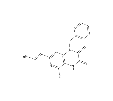 CCC/C=C/c1cc2c([nH]c(=O)c(=O)n2Cc2ccccc2)c(Cl)n1